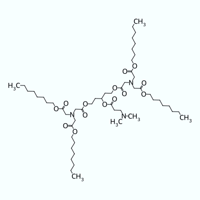 CCCCCCCCOC(=O)CN(CC(=O)OCCCCCCCC)CC(=O)OCCC(CCOC(=O)CN(CC(=O)OCCCCCCCC)CC(=O)OCCCCCCCC)OC(=O)CCN(C)C